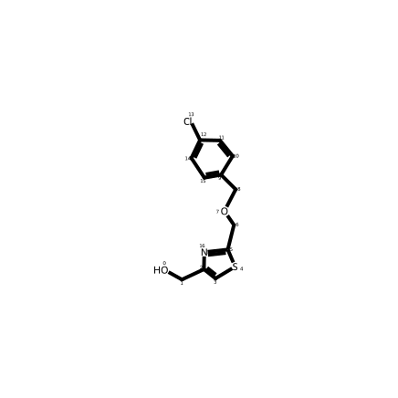 OCc1csc(COCc2ccc(Cl)cc2)n1